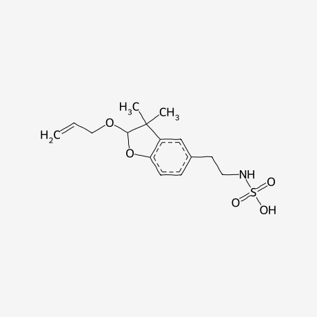 C=CCOC1Oc2ccc(CCNS(=O)(=O)O)cc2C1(C)C